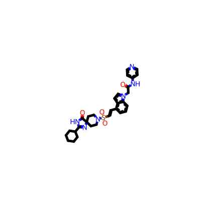 O=C(Cn1ccc2c(/C=C/S(=O)(=O)N3CCC4(CC3)N=C(C3CCCCC3)NC4=O)cccc21)Nc1ccncc1